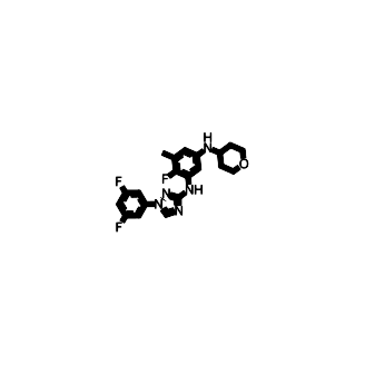 Cc1cc(NC2CCOCC2)cc(Nc2ncn(-c3cc(F)cc(F)c3)n2)c1F